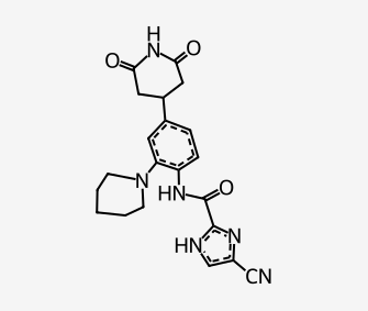 N#Cc1c[nH]c(C(=O)Nc2ccc(C3CC(=O)NC(=O)C3)cc2N2CCCCC2)n1